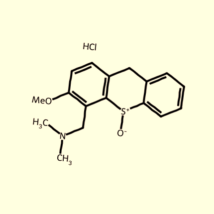 COc1ccc2c(c1CN(C)C)[S+]([O-])c1ccccc1C2.Cl